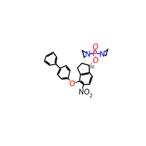 O=[N+]([O-])c1ccc2c(c1Oc1ccc(-c3ccccc3)cc1)CC[C@@H]2OP(=O)(N1CC1)N1CC1